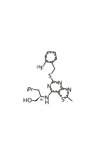 Cc1nc2nc(SCc3ccccc3[18F])nc(N[C@@H](CO)CC(C)C)c2s1